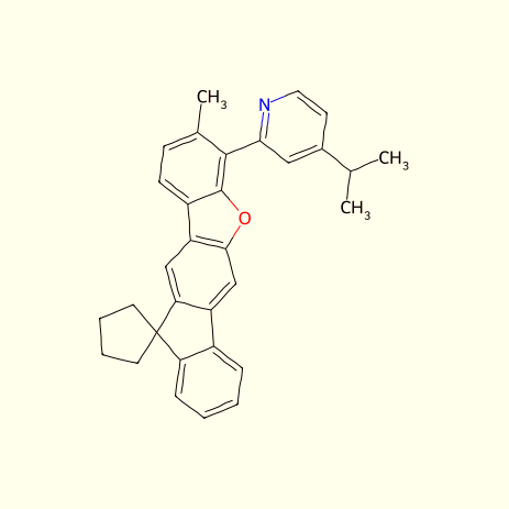 Cc1ccc2c(oc3cc4c(cc32)C2(CCCC2)c2ccccc2-4)c1-c1cc(C(C)C)ccn1